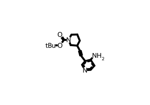 CC(C)(C)OC(=O)N1CCCC(C#Cc2cnccc2N)C1